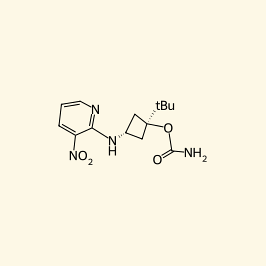 CC(C)(C)[C@]1(OC(N)=O)C[C@H](Nc2ncccc2[N+](=O)[O-])C1